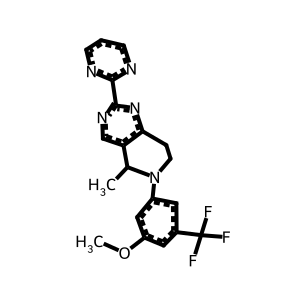 COc1cc(N2CCc3nc(-c4ncccn4)ncc3C2C)cc(C(F)(F)F)c1